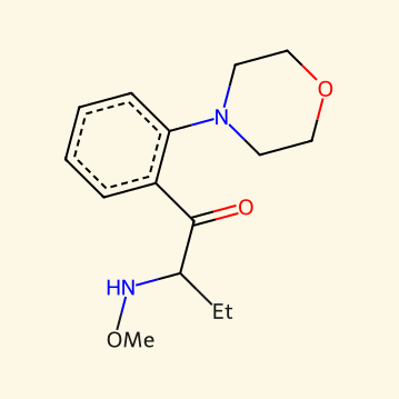 CCC(NOC)C(=O)c1ccccc1N1CCOCC1